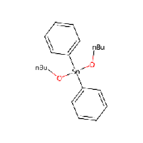 CCCC[O][Sn]([O]CCCC)([c]1ccccc1)[c]1ccccc1